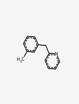 Cc1cccc(Cc2ccccn2)c1